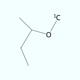 CCC(C)O[1CH3]